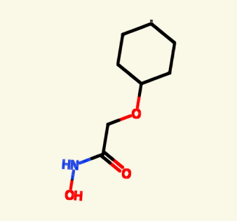 O=C(COC1CC[CH]CC1)NO